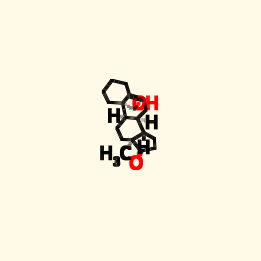 C[C@]12CC[C@@H]3[C@@H](CC=C4CCCC[C@@]43CO)[C@@H]1CCC2=O